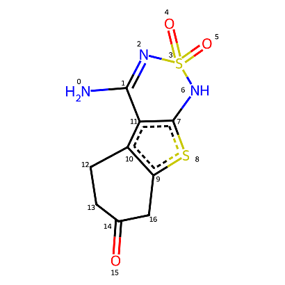 NC1=NS(=O)(=O)Nc2sc3c(c21)CCC(=O)C3